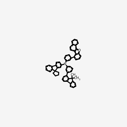 CC1(C)c2ccccc2-c2cccc(-c3cccc(N(c4cccc(-c5cccc6oc7c8ccccc8ccc7c56)c4)c4ccc5c(c4)C4(CCCC4)c4ccccc4-5)c3)c21